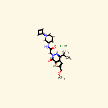 COCc1cc2c(C(C)C)nn(CC(=O)N[C@@H]3CCCN(C4CCC4)C3)c(=O)c2s1.Cl